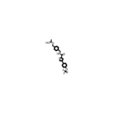 CC(O)OCc1ccc(CNC(=O)c2cc(-c3ccc(OC(F)(F)F)cc3)cs2)cc1